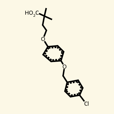 CC(C)(CCOc1ccc(OCc2ccc(Cl)cc2)cc1)C(=O)O